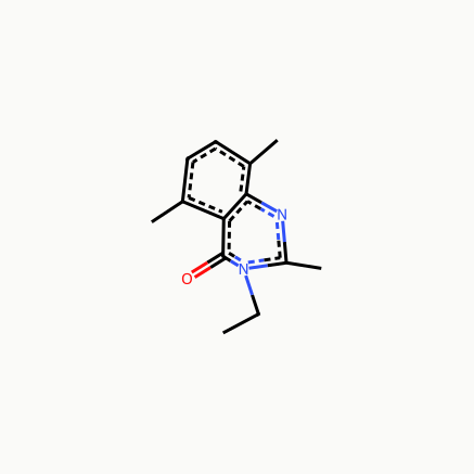 CCn1c(C)nc2c(C)ccc(C)c2c1=O